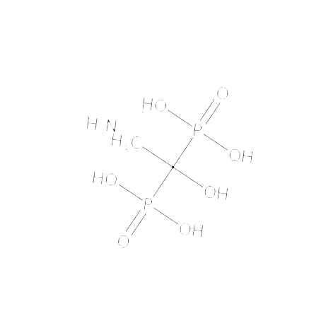 CC(O)(P(=O)(O)O)P(=O)(O)O.N